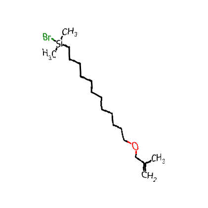 C=C(C)COCCCCCCCCCCCC[Si](C)(C)Br